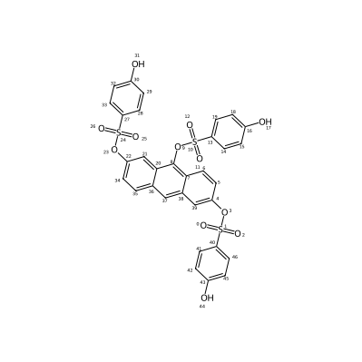 O=S(=O)(Oc1ccc2c(OS(=O)(=O)c3ccc(O)cc3)c3cc(OS(=O)(=O)c4ccc(O)cc4)ccc3cc2c1)c1ccc(O)cc1